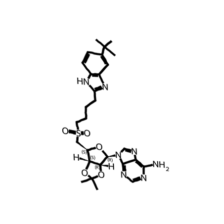 CC1(C)O[C@@H]2[C@H](O1)[C@@H](CS(=O)(=O)CCCCc1nc3cc(C(C)(C)C)ccc3[nH]1)O[C@H]2n1cnc2c(N)ncnc21